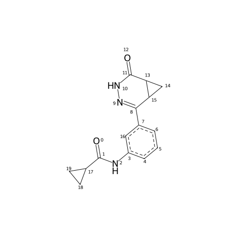 O=C(Nc1cccc(C2=NNC(=O)C3CC23)c1)C1CC1